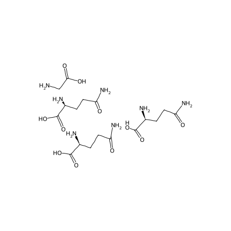 NC(=O)CC[C@H](N)C(=O)O.NC(=O)CC[C@H](N)C(=O)O.NC(=O)CC[C@H](N)C(=O)O.NCC(=O)O